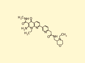 CCN1CCOCC1CNC(=O)Cc1ccc(-c2ccc3c(=O)c(C(=O)NC)c(N)n(CC)c3n2)cn1